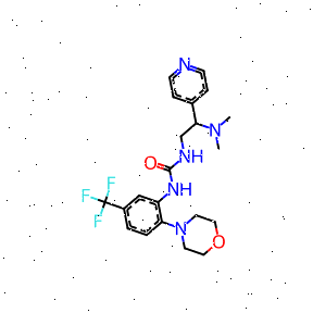 CN(C)C(CNC(=O)Nc1cc(C(F)(F)F)ccc1N1CCOCC1)c1ccncc1